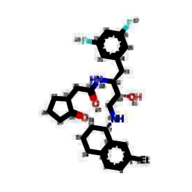 CCc1ccc2c(c1)[C@@H](NC[C@@H](O)[C@H](Cc1cc(F)cc(F)c1)NC(=O)CC1CCCC1=O)CCC2